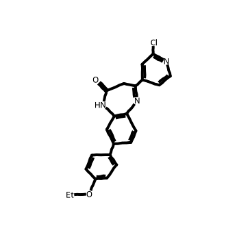 CCOc1ccc(-c2ccc3c(c2)NC(=O)CC(c2ccnc(Cl)c2)=N3)cc1